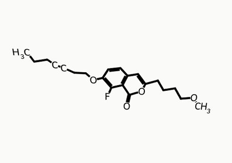 CCCCCCCOc1ccc2cc(CCCCOC)oc(=O)c2c1F